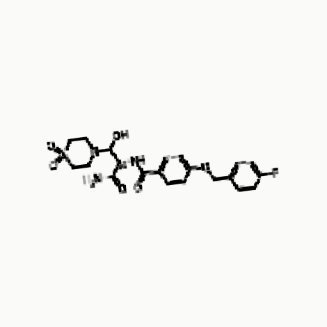 NC(=O)[C@@H](NC(=O)c1ccc(OCc2ccc(F)cc2)cc1)C(O)N1CCS(=O)(=O)CC1